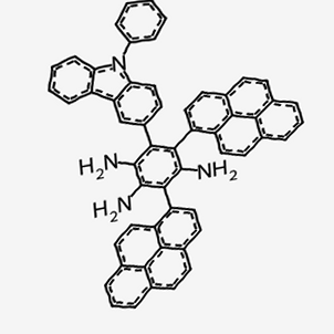 Nc1c(N)c(-c2ccc3c(c2)c2ccccc2n3-c2ccccc2)c(-c2ccc3ccc4cccc5ccc2c3c45)c(N)c1-c1ccc2ccc3cccc4ccc1c2c34